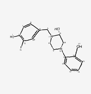 Cl.Oc1ccc(CN2CCN(c3ccccc3O)CC2)cc1F